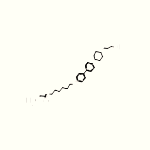 C=CC(=O)OCCCCCCOc1ccc(-c2ccc([C@H]3CC[C@H](CCCO)CC3)cc2)cc1